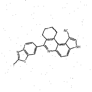 N#Cc1c[nH]c2ccc3nc(-c4ccc5nc(I)sc5c4)c4c(c3c12)CCCC4